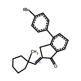 CC1(/C=C2\Cc3c(cccc3-c3ccc(C(C)(C)C)cc3)C2=O)CCCCC1